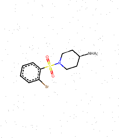 CC(=O)NC1CCN(S(=O)(=O)c2ccccc2Br)CC1